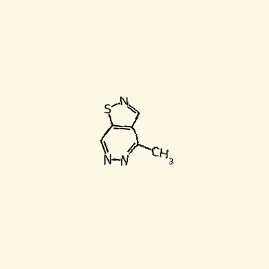 Cc1nncc2sncc12